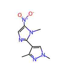 Cc1nn(C)cc1-c1ncc([N+](=O)[O-])n1C